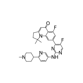 CN1CCC(c2ccc(Nc3ncc(F)c(-c4cc(F)c5c(=O)cc6n(c5c4)C(C)(C)CC6)n3)cn2)CC1